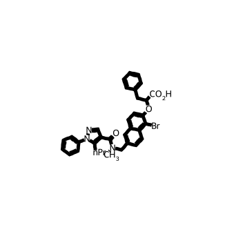 CCCc1c(C(=O)N(C)Cc2ccc3c(Br)c(OC(Cc4ccccc4)C(=O)O)ccc3c2)cnn1-c1ccccc1